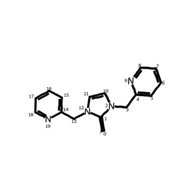 [C]=C1N(Cc2ccccn2)C=CN1Cc1ccccn1